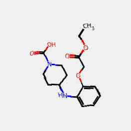 CCOC(=O)COc1ccccc1NC1CCN(C(=O)O)CC1